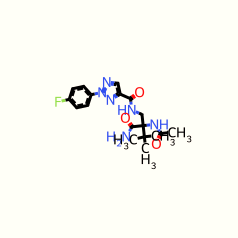 CC(=O)NC(CNC(=O)c1cnn(-c2ccc(F)cc2)n1)(C(N)=O)C(C)(C)C